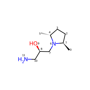 C[C@@H]1CC[C@@H](C)N1C[C@H](O)CN